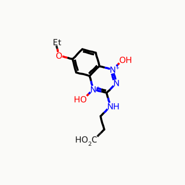 CCOc1ccc2c(c1)[n+](O)c(NCCC(=O)O)n[n+]2O